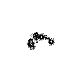 O=C1N(c2ccc3nnc(C(F)(F)F)n3n2)C(=S)N(c2ccc(OCCc3ccccn3)cc2)C12CCC2